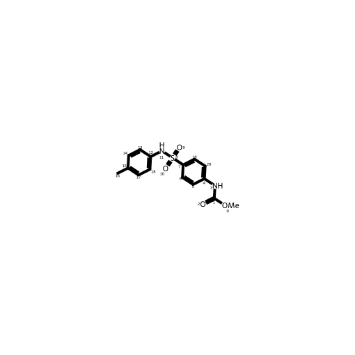 COC(=O)Nc1ccc(S(=O)(=O)Nc2ccc(C)cc2)cc1